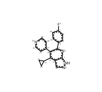 Fc1ccc(-c2nc3[nH]ncc3c(C3CC3)c2-c2ccncc2)cc1